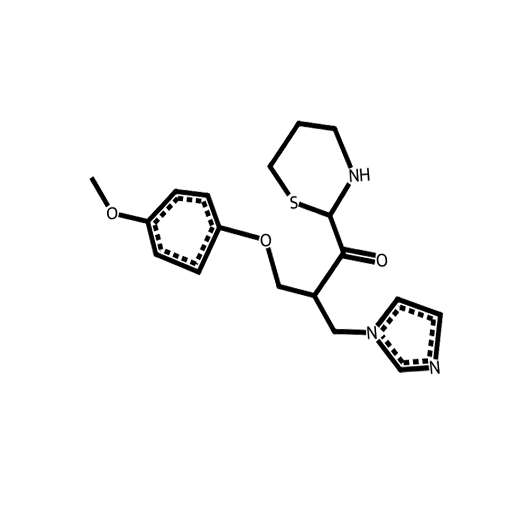 COc1ccc(OCC(Cn2ccnc2)C(=O)C2NCCCS2)cc1